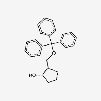 OC1CCCC1COC(c1ccccc1)(c1ccccc1)c1ccccc1